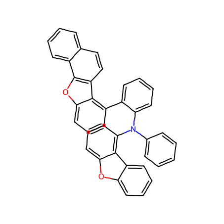 c1ccc(N(c2ccccc2-c2cccc3oc4c5ccccc5ccc4c23)c2cccc3oc4ccccc4c23)cc1